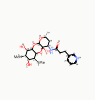 CN[C@@H]1[C@H](O)[C@H](NC)C2O[C@]3(O)C(OC2[C@@H]1O)O[C@H](C)C[C@H]3NC(=O)CCc1cccnc1